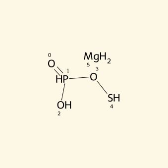 O=[PH](O)OS.[MgH2]